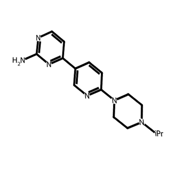 CC(C)N1CCN(c2ccc(-c3ccnc(N)n3)cn2)CC1